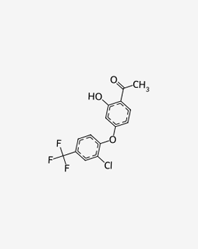 CC(=O)c1ccc(Oc2ccc(C(F)(F)F)cc2Cl)cc1O